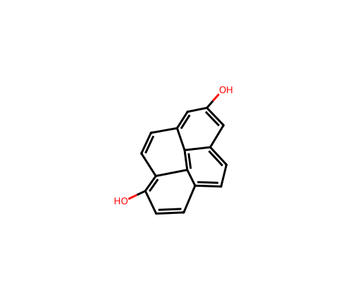 Oc1cc2ccc3ccc(O)c4ccc(c1)c2c34